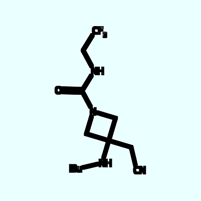 CCC(C)NC1(CC#N)CN(C(=O)NCC(F)(F)F)C1